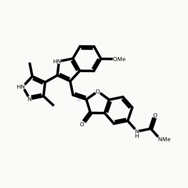 CNC(=O)Nc1ccc2c(c1)C(=O)/C(=C/c1c(-c3c(C)n[nH]c3C)[nH]c3ccc(OC)cc13)O2